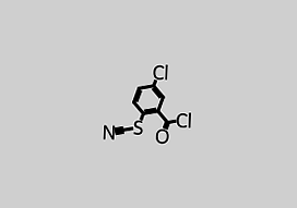 N#CSc1ccc(Cl)cc1C(=O)Cl